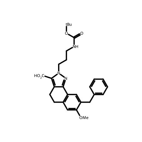 COc1cc2c(cc1Cc1ccccc1)-c1nn(CCCNC(=O)OC(C)(C)C)c(C(=O)O)c1CC2